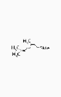 CSCCC(C)CCC=C(C)C